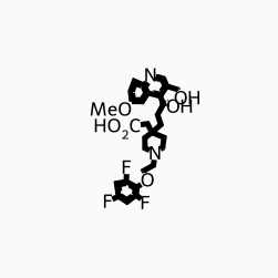 COc1ccc2ncc(CO)c([C@H](O)CCC3(CC(=O)O)CCN(CCOc4c(F)cc(F)cc4F)CC3)c2c1